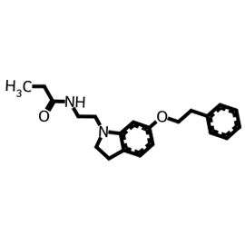 CCC(=O)NCCN1CCc2ccc(OCCc3ccccc3)cc21